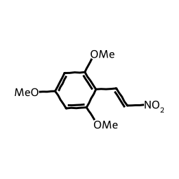 COc1cc(OC)c(C=C[N+](=O)[O-])c(OC)c1